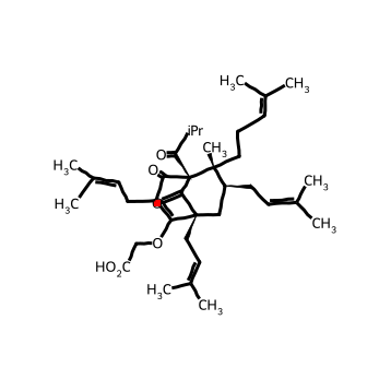 CC(C)=CCC[C@]1(C)[C@@H](CC=C(C)C)C[C@@]2(CC=C(C)C)C(=O)[C@]1(C(=O)C(C)C)C(=O)C(CC=C(C)C)=C2OCC(=O)O